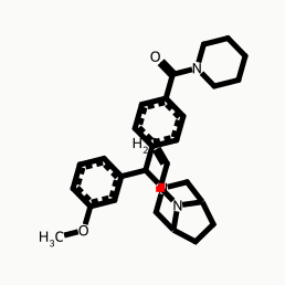 C=CCN1C2CCC1CN(C(c1ccc(C(=O)N3CCCCC3)cc1)c1cccc(OC)c1)C2